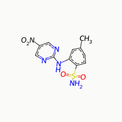 Cc1ccc(S(N)(=O)=O)c(Nc2ncc([N+](=O)[O-])cn2)c1